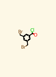 O=C(Cl)c1cc(CBr)cc(CBr)c1